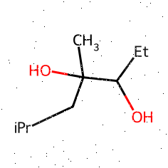 CCC(O)C(C)(O)CC(C)C